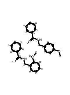 COc1ccc(CNC(=O)c2ccccc2)cc1.COc1ccccc1CNC(=O)c1ccccc1